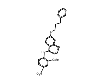 COc1cc([N+](=O)[O-])ccc1Nc1ccnc2cc(OCCCc3ccccc3)ccc12